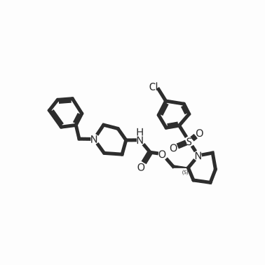 O=C(NC1CCN(Cc2ccccc2)CC1)OC[C@@H]1CCCCN1S(=O)(=O)c1ccc(Cl)cc1